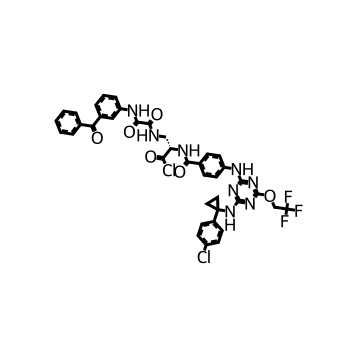 O=C(NC[C@H](NC(=O)c1ccc(Nc2nc(NC3(c4ccc(Cl)cc4)CC3)nc(OCC(F)(F)F)n2)cc1)C(=O)Cl)C(=O)Nc1cccc(C(=O)c2ccccc2)c1